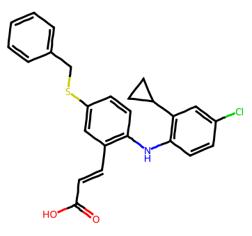 O=C(O)C=Cc1cc(SCc2ccccc2)ccc1Nc1ccc(Cl)cc1C1CC1